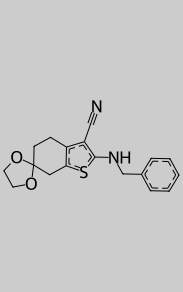 N#Cc1c(NCc2ccccc2)sc2c1CCC1(C2)OCCO1